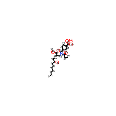 CCCCCCCC(=O)C=C=C(CN(Cc1ccc(C(=O)O)cc1)C(=O)CC)C(=O)OC